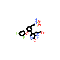 Cn1cc(-c2cc(CCN[SH](=O)=O)ccc2Oc2ccc(F)cc2F)c2cc(CO)[nH]c2c1=O